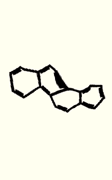 [c]1ccc2[c]cc3c4ccccc4ccc3c2c1